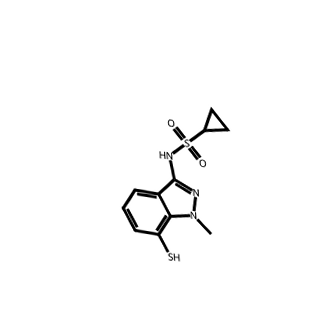 Cn1nc(NS(=O)(=O)C2CC2)c2cccc(S)c21